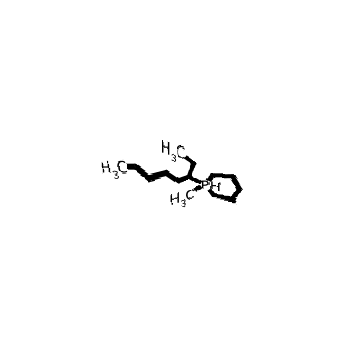 CCCCCC(CC)[PH]1(C)CCCCC1